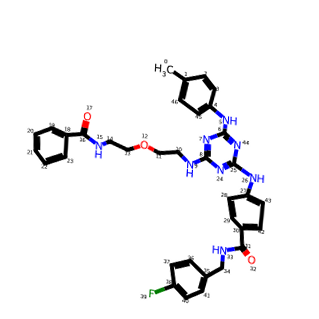 Cc1ccc(Nc2nc(NCCOCCNC(=O)c3ccccc3)nc(Nc3ccc(C(=O)NCc4ccc(F)cc4)cc3)n2)cc1